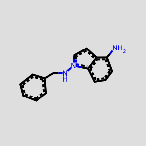 Nc1cccc2c1ccn2NCc1ccccc1